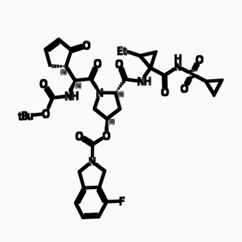 CCC1CC1(NC(=O)[C@@H]1C[C@@H](OC(=O)N2Cc3cccc(F)c3C2)CN1C(=O)[C@@H](NC(=O)OC(C)(C)C)[C@@H]1CC=CC1=O)C(=O)NS(=O)(=O)C1CC1